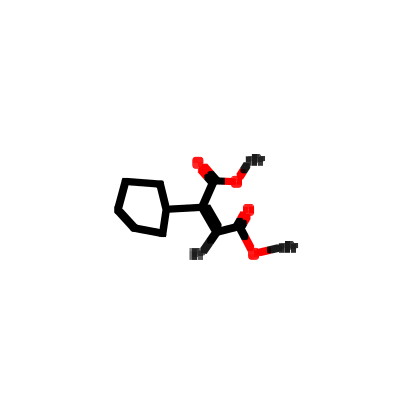 CCCOC(=O)/C(=C(\C(=O)OCCC)C1CCCCC1)C(C)C